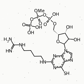 COP(=O)(OP(=O)(O)O)OP(=O)(O)OC[C@H]1OC(n2cnc3c(S)nc(NCCCCNC(=N)N)nc32)C(O)[C@H]1O